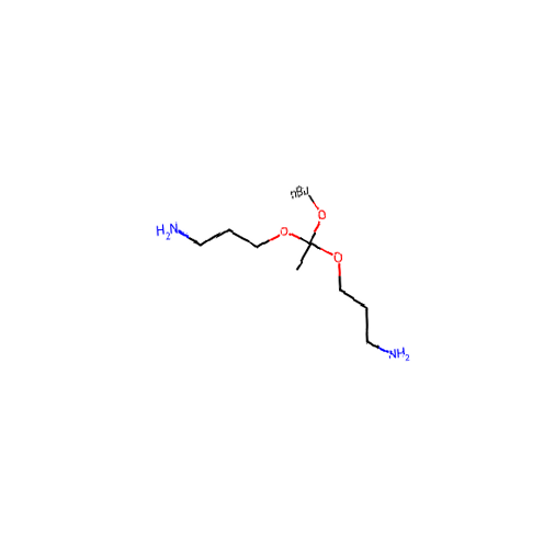 CCCCOC(C)(OCCCN)OCCCN